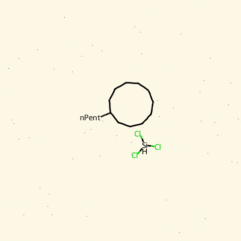 CCCCCC1CCCCCCCCCC1.Cl[SiH](Cl)Cl